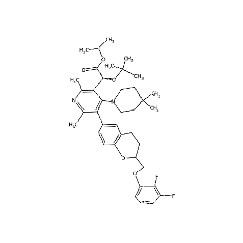 Cc1nc(C)c([C@H](OC(C)(C)C)C(=O)OC(C)C)c(N2CCC(C)(C)CC2)c1-c1ccc2c(c1)CCC(COc1cccc(F)c1F)O2